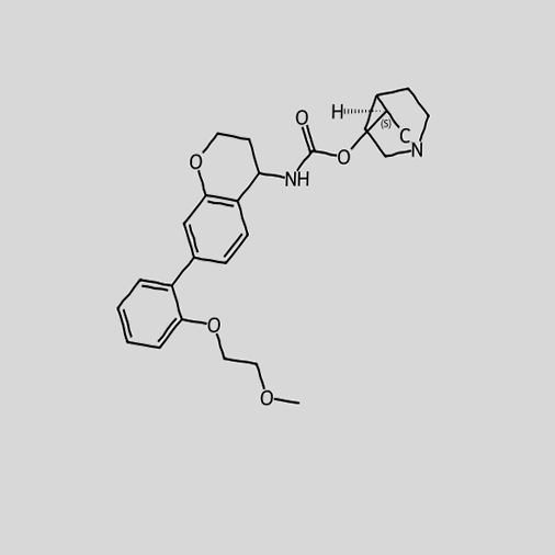 COCCOc1ccccc1-c1ccc2c(c1)OCCC2NC(=O)O[C@@H]1CN2CCC1CC2